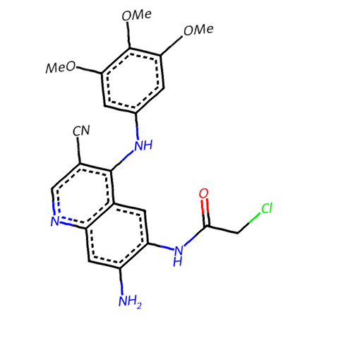 COc1cc(Nc2c(C#N)cnc3cc(N)c(NC(=O)CCl)cc23)cc(OC)c1OC